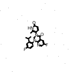 Cc1[nH]c(=O)ccc1N1CN(c2ccc(F)cc2C(C)C)c2ncc(F)cc2C1=O